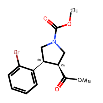 COC(=O)[C@@H]1CN(C(=O)OC(C)(C)C)C[C@H]1c1ccccc1Br